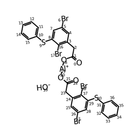 O=C(Cc1cc(Br)cc(Sc2ccccc2)c1Br)[O][Al+][O]C(=O)Cc1cc(Br)cc(Sc2ccccc2)c1Br.[OH-]